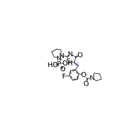 O=C1N=C(N2CCCCN2P(=O)(O)O)S/C1=C\c1cc(F)ccc1OC(=O)N1CCCC1